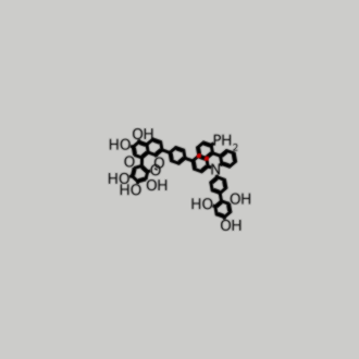 Oc1cc(O)c(-c2ccc(N(c3ccc(-c4ccc(-c5ccc6c(O)c(O)c7oc8c(O)c(O)c(O)c9c8c7c6c5OO9)cc4)cc3)c3ccccc3-c3ccccc3P)cc2)c(O)c1